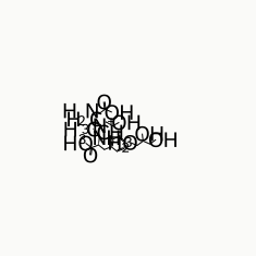 C[N+](C)(C)CCO.NCC(=O)O.N[C@@H](Cc1ccccc1)C(=O)O.OCC(O)CO